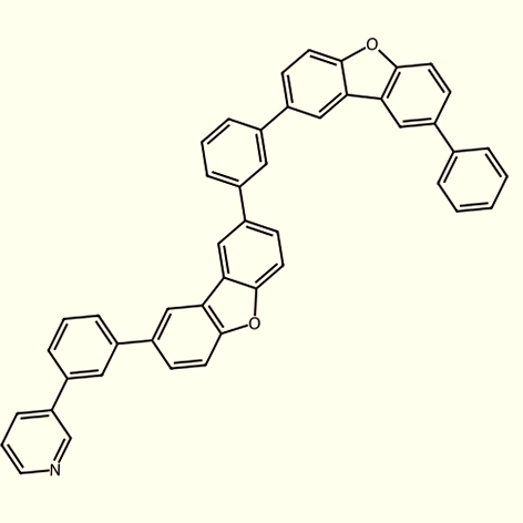 c1ccc(-c2ccc3oc4ccc(-c5cccc(-c6ccc7oc8ccc(-c9cccc(-c%10cccnc%10)c9)cc8c7c6)c5)cc4c3c2)cc1